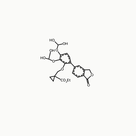 CCOC(=O)C1(COc2c(-c3ccc4c(c3)COC4=O)ccc(OC(O)O)c2OC(O)O)CC1